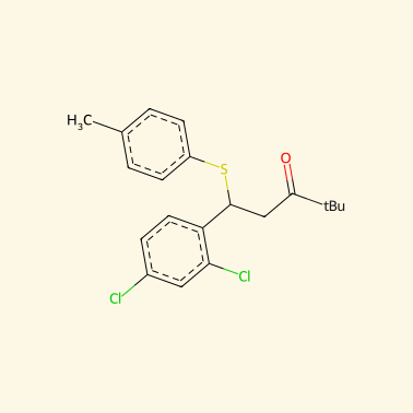 Cc1ccc(SC(CC(=O)C(C)(C)C)c2ccc(Cl)cc2Cl)cc1